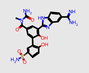 CN(C(N)=O)C(=O)c1cc(-c2nc3cc(C(=N)N)ccc3[nH]2)c(O)c(-c2cc(S(N)(=O)=O)ccc2O)c1